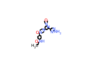 C=CC(=O)Nc1ccc(C(=O)N2CCN(c3cc(-c4cnc(N)nc4)nc(N4CCOCC4)c3)CC2)cc1